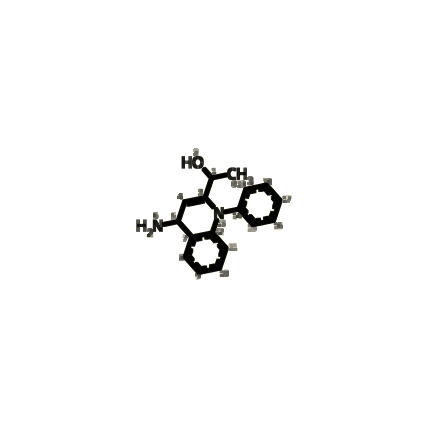 CC(O)C1=CC(N)c2ccccc2N1c1ccccc1